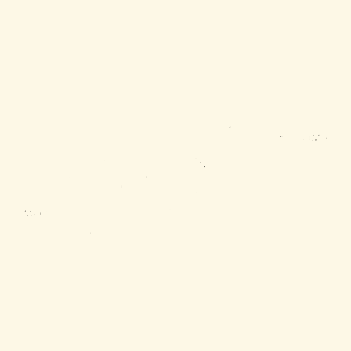 COc1ccc(C=CC(C)[N]c2ccc(OC)cc2)cc1